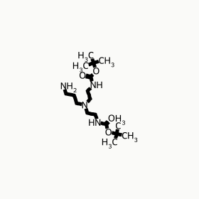 CC(C)(C)OC(=O)NCCN(CCCN)CCNC(=O)OC(C)(C)C